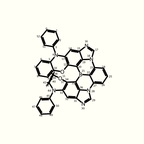 c1ccc(N2c3ccccc3Oc3c2cc2ncn4c2c3B2c3c-4cccc3-n3cnc4cc5c(c2c43)Oc2ccccc2N5c2ccccc2)cc1